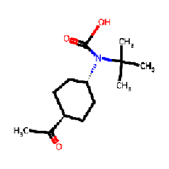 CC(=O)[C@H]1CC[C@H](N(C(=O)O)C(C)(C)C)CC1